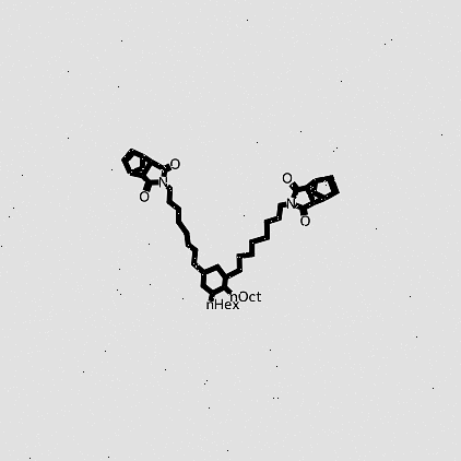 CCCCCCCCC1C(CCCCCC)CC(CCCCCCCCN2C(=O)C3C4C=CC(C4)C3C2=O)CC1CCCCCCCCN1C(=O)C2C3C=CC(C3)C2C1=O